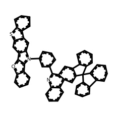 c1cc(-c2nc3ccccc3c3cc4c(cc23)-c2ccccc2C42c3ccccc3-c3ccccc32)cc(-n2c3cc4c(cc3c3oc5ccccc5c32)sc2ccccc24)c1